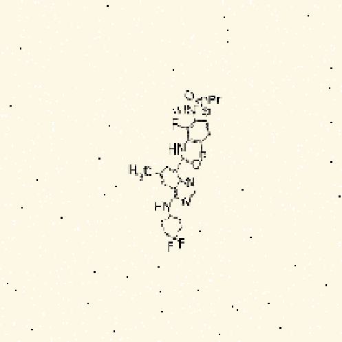 CCCS(=O)(=O)Nc1ccc(F)c(NC(=O)c2cc(C)cc3c(NC4CCC(F)(F)CC4)ncnc23)c1F